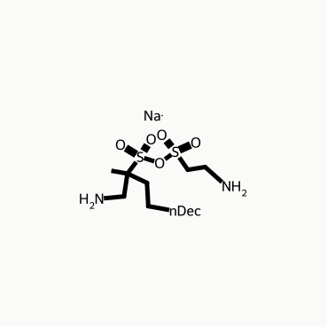 CCCCCCCCCCCCC(C)(CN)S(=O)(=O)OS(=O)(=O)CCN.[Na]